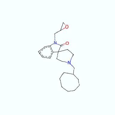 O=C1N(CC2CO2)c2ccccc2C12CCN(CC1CCCCCCC1)CC2